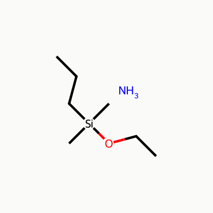 CCC[Si](C)(C)OCC.N